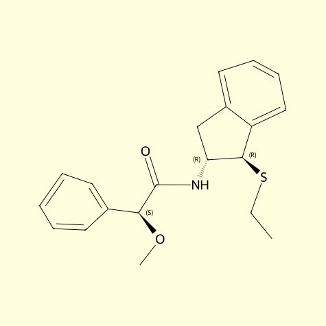 CCS[C@@H]1c2ccccc2C[C@H]1NC(=O)[C@@H](OC)c1ccccc1